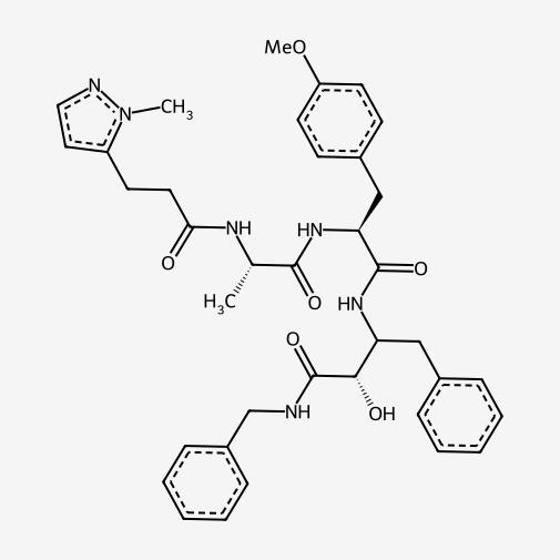 COc1ccc(C[C@H](NC(=O)[C@H](C)NC(=O)CCc2ccnn2C)C(=O)NC(Cc2ccccc2)[C@H](O)C(=O)NCc2ccccc2)cc1